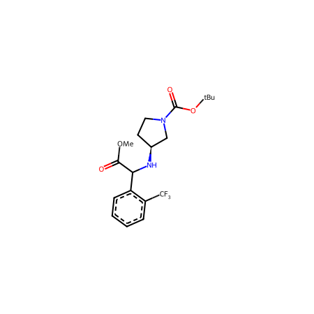 COC(=O)C(N[C@H]1CCN(C(=O)OC(C)(C)C)C1)c1ccccc1C(F)(F)F